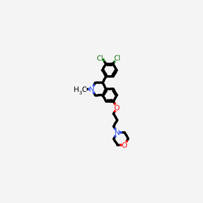 CN1Cc2cc(OCCCN3CCOCC3)ccc2C(c2ccc(Cl)c(Cl)c2)C1